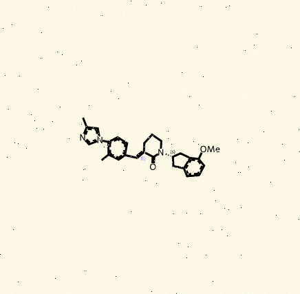 COc1cccc2c1C[C@@H](N1CCC/C(=C\c3ccc(-n4cnc(C)c4)c(C)c3)C1=O)C2